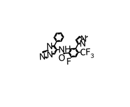 Cn1ccc(-c2cc(C(=O)Nc3cn4cncc4nc3-c3ccccc3)c(F)cc2C(F)(F)F)n1